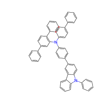 c1ccc(-c2ccc(N(c3ccc(-c4ccc5c(c4)c4ccccc4n5-c4ccccc4)cc3)c3cc(-c4ccccc4)ccc3-c3ccccc3)cc2)cc1